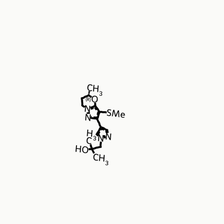 CSc1c(-c2cnn(CC(C)(C)O)c2)nn2c1O[C@H](C)CC2